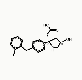 Cc1ccccc1Cc1ccc([C@@]2(CC(=O)O)C[C@@H](O)CN2)cc1